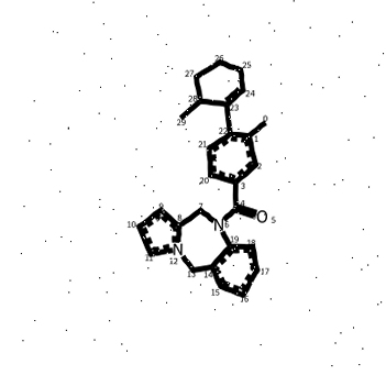 Cc1cc(C(=O)N2Cc3cccn3Cc3ccccc32)ccc1C1=CCCCC1C